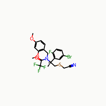 COc1ccc(CN(C(=O)C(F)(F)F)[C@@](C)(CSCC#N)c2cc(Br)ccc2F)c(OC)c1